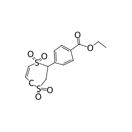 CCOC(=O)c1ccc(C2CS(=O)(=O)CC=CS2(=O)=O)cc1